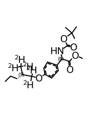 [2H]C([2H])([2H])[C@@H](CCC)C([2H])([2H])Oc1ccc([C@@H](NC(=O)OC(C)(C)C)C(=O)OC)cc1